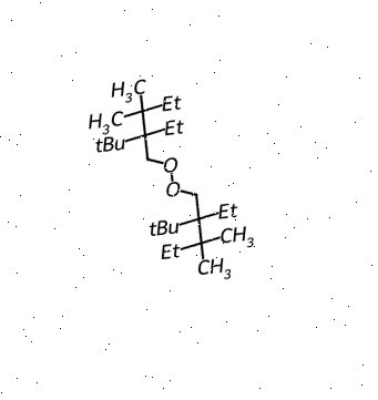 CCC(C)(C)C(CC)(COOCC(CC)(C(C)(C)C)C(C)(C)CC)C(C)(C)C